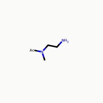 CC(=O)N(C)CCN